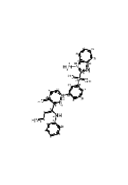 N=C/C=C(\Nc1ccccc1)c1nn(-c2cccc(S(=O)(=O)c3nc4ccccc4n3N)c2)ccc1=O